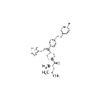 CC(C)CCN(c1ccc(CCc2ccc(F)cc2)cc1)C1CCN(C(=O)[C@@H](N)CC(C)C)CC1